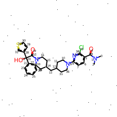 CN(C)C(=O)c1ccc(N2CCC(CC3CCN(C(=O)C(O)(c4ccccc4)c4ccsc4)CC3)CC2)nc1Cl